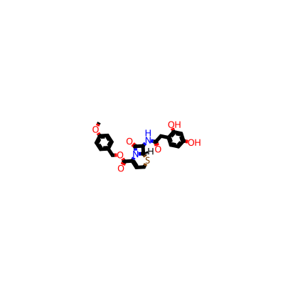 COc1ccc(COC(=O)C2=CCS[C@H]3C(NC(=O)Cc4ccc(O)cc4O)C(=O)N23)cc1